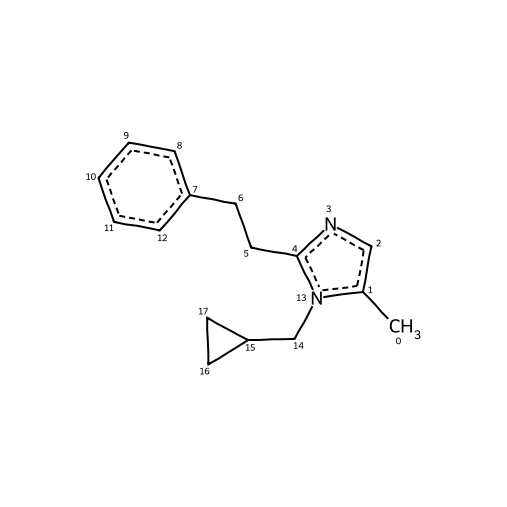 Cc1cnc(CCc2ccccc2)n1CC1CC1